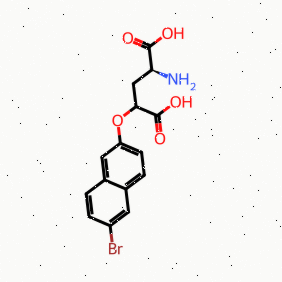 N[C@@H](CC(Oc1ccc2cc(Br)ccc2c1)C(=O)O)C(=O)O